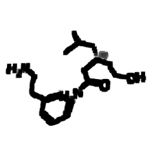 CC(C)C[C@H](CCO)CC(N)=O.NCCc1ccccc1